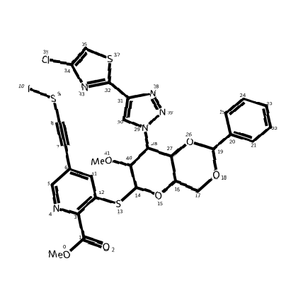 COC(=O)c1ncc(C#CSI)cc1SC1OC2COC(c3ccccc3)OC2C(n2cc(-c3nc(Cl)cs3)nn2)C1OC